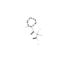 Cc1ccccc1C(=O)C(C)(N)C(=O)OCl